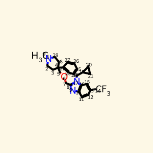 CN1CCC(COCc2nc3ccc(C(F)(F)F)cc3n2CC2CC2)(c2ccccc2)CC1